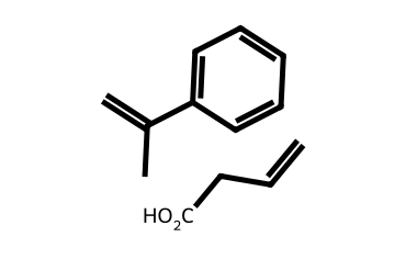 C=C(C)c1ccccc1.C=CCC(=O)O